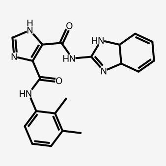 Cc1cccc(NC(=O)c2nc[nH]c2C(=O)NC2=NC3C=CC=CC3N2)c1C